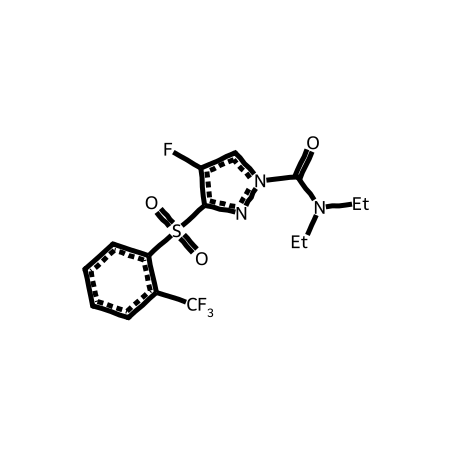 CCN(CC)C(=O)n1cc(F)c(S(=O)(=O)c2ccccc2C(F)(F)F)n1